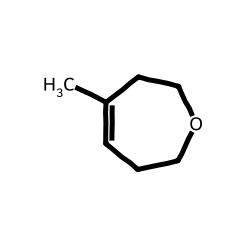 CC1=CCCOCC1